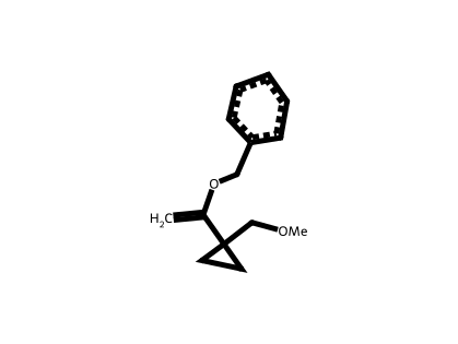 C=C(OCc1ccccc1)C1(COC)CC1